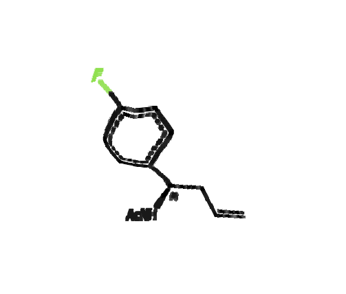 C=CC[C@@H](NC(C)=O)c1ccc(F)cc1